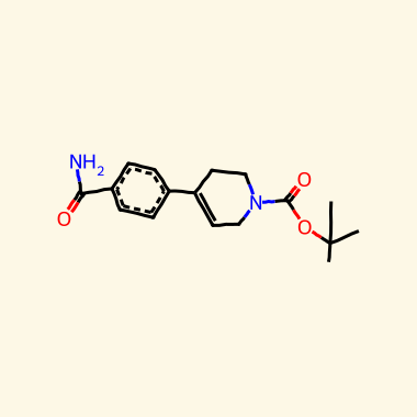 CC(C)(C)OC(=O)N1CC=C(c2ccc(C(N)=O)cc2)CC1